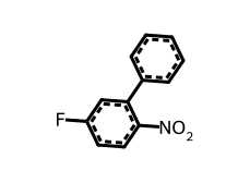 O=[N+]([O-])c1ccc(F)cc1-c1ccccc1